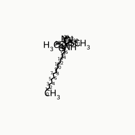 CCCCCCCCC=CCCCCCCCC(=O)Nc1c(SCC)ncnc1SCC